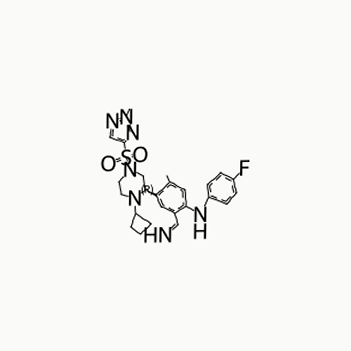 Cc1cc(Nc2ccc(F)cc2)c(C=N)cc1[C@@H]1CN(S(=O)(=O)c2cnn(C)n2)CCN1C1CCC1